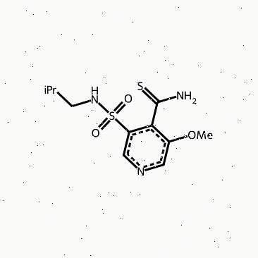 COc1cncc(S(=O)(=O)NCC(C)C)c1C(N)=S